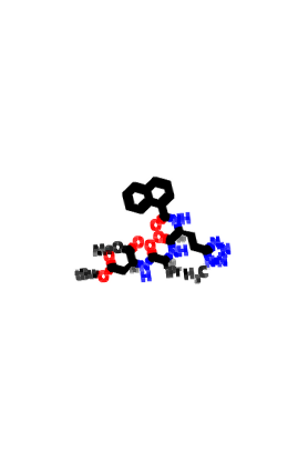 COC(=O)[C@H](CC(=O)OC(C)(C)C)NC(=O)[C@@H](NC(=O)[C@H](CCc1nnnn1C)NC(=O)c1cccc2ccccc12)C(C)C